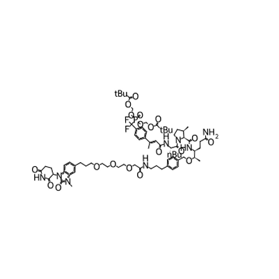 CCCC[C@H](NC(=O)/C=C(\C)c1ccc(C(F)(F)P(=O)(OCOC(=O)C(C)(C)C)OCOC(=O)C(C)(C)C)cc1)C(=O)N1CC[C@@H](C)[C@H]1C(=O)N[C@@H](CCC(N)=O)[C@@H](C)OCc1ccc(CCCNC(=O)COCCOCCOCCCc2ccc3c(c2)n(C)c(=O)n3C2CCC(=O)NC2=O)cc1